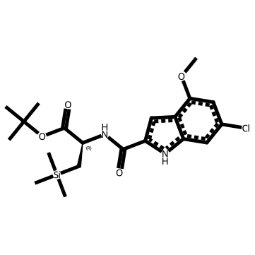 COc1cc(Cl)cc2[nH]c(C(=O)N[C@@H](C[Si](C)(C)C)C(=O)OC(C)(C)C)cc12